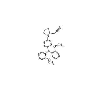 COc1ccccc1C(c1ccc(N2CCC[C@H]2CC#N)cc1)c1ccccc1OC